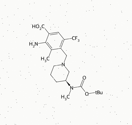 Cc1c(N)c(C(=O)O)cc(C(F)(F)F)c1CN1CCC[C@H](N(C)C(=O)OC(C)(C)C)C1